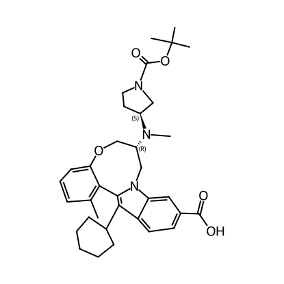 Cc1cccc2c1-c1c(C3CCCCC3)c3ccc(C(=O)O)cc3n1C[C@@H](N(C)[C@H]1CCN(C(=O)OC(C)(C)C)C1)CO2